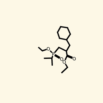 CCOC(=O)C(CC1CCCCC1)CP(=O)(OCC)C(C)C